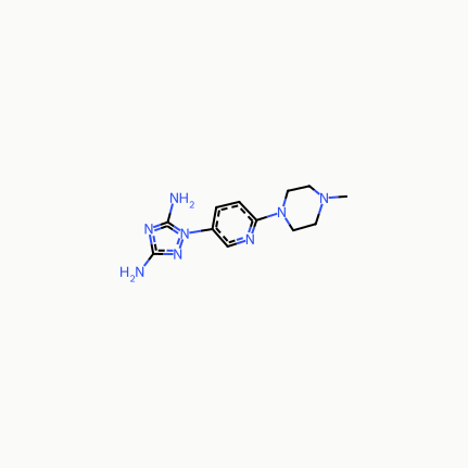 CN1CCN(c2ccc(-n3nc(N)nc3N)cn2)CC1